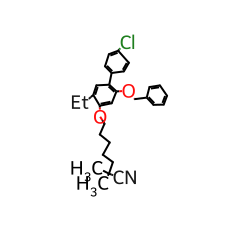 CCc1cc(-c2ccc(Cl)cc2)c(OCc2ccccc2)cc1OCCCCCC(C)(C)C#N